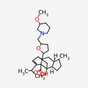 COC1CCCN(CC2CCC(C34C[C@@H]5[C@H](C)CC[C@H]5C5(C=O)CC3C=C(C(C)C)C45C(=O)O)O2)C1